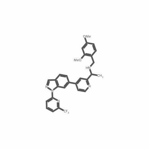 COc1ccc(CNC(C)c2cc(-c3ccc4cnn(-c5cccc(C(F)(F)F)n5)c4c3)ccn2)c(OC)c1